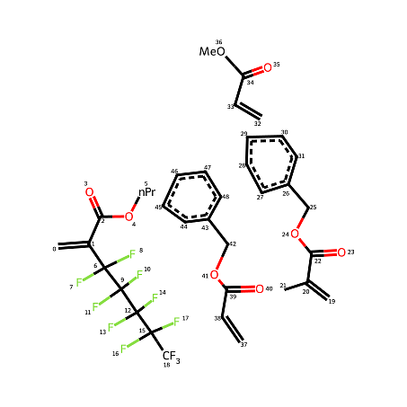 C=C(C(=O)OCCC)C(F)(F)C(F)(F)C(F)(F)C(F)(F)C(F)(F)F.C=C(C)C(=O)OCc1ccccc1.C=CC(=O)OC.C=CC(=O)OCc1ccccc1